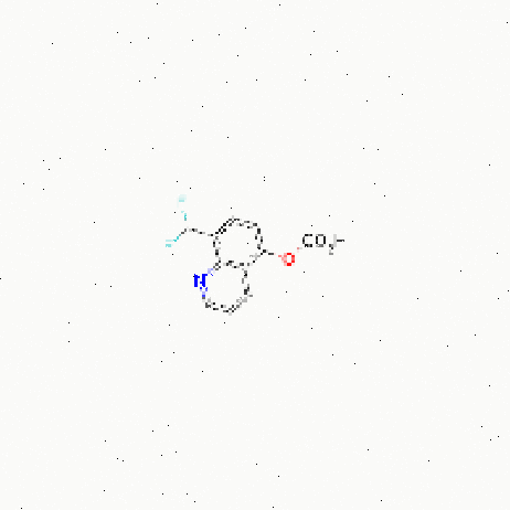 O=C(O)Oc1ccc(C(F)F)c2ncccc12